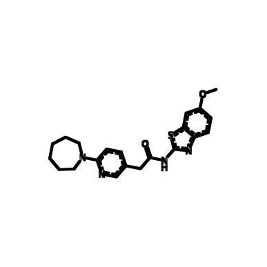 COc1ccc2nc(NC(=O)Cc3ccc(N4CCCCCC4)nc3)sc2c1